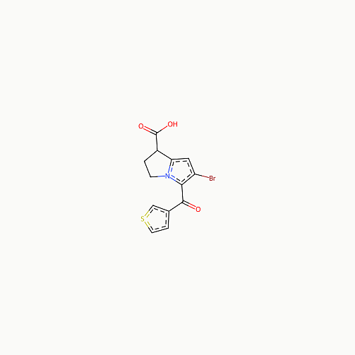 O=C(c1ccsc1)c1c(Br)cc2n1CCC2C(=O)O